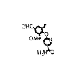 COc1cc(C=O)cc(F)c1Oc1ccc(C(N)=O)cn1